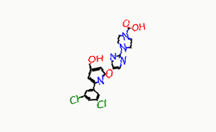 O=C(O)N1CCN(c2ncc(Oc3cc(CO)cc(-c4cc(Cl)cc(Cl)c4)n3)cn2)CC1